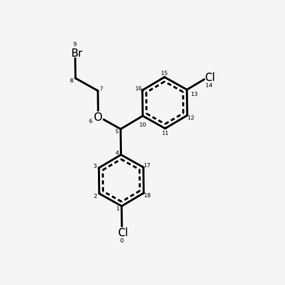 Clc1ccc(C(OCCBr)c2ccc(Cl)cc2)cc1